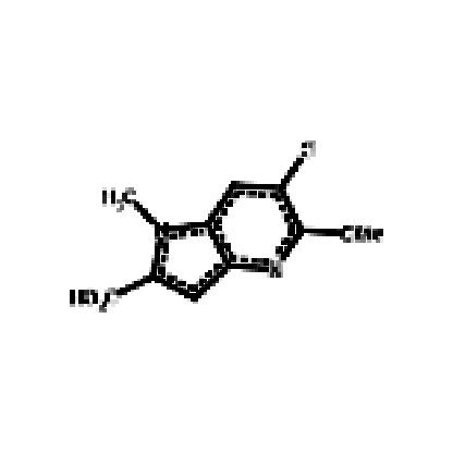 COc1nc2cc(C(=O)O)n(C)c2cc1Cl